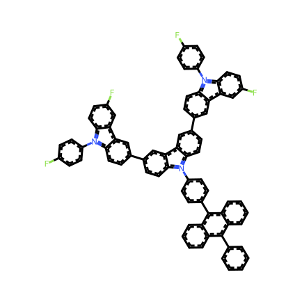 Fc1ccc(-n2c3ccc(F)cc3c3cc(-c4ccc5c(c4)c4cc(-c6ccc7c(c6)c6cc(F)ccc6n7-c6ccc(F)cc6)ccc4n5-c4ccc(-c5c6ccccc6c(-c6ccccc6)c6ccccc56)cc4)ccc32)cc1